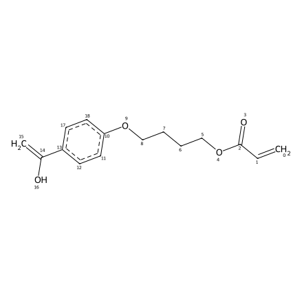 C=CC(=O)OCCCCOc1ccc(C(=C)O)cc1